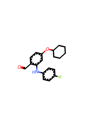 O=Cc1ccc(OC2CCCCC2)cc1Nc1ccc(F)cc1